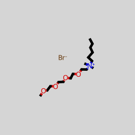 CCCCCC[N+](C)(C)CCOCCOCCOCCOC.[Br-]